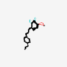 CCCC1CCC(CCCc2ccc(OC)c(F)c2F)CC1